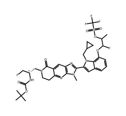 CC(OS(=O)(=O)C(F)(F)F)C(F)Oc1cccc2cc(-c3nc4cc5c(nc4n3C)CCN(C[C@@H](CF)NC(=O)OC(C)(C)C)C5=O)n(CC3CC3)c12